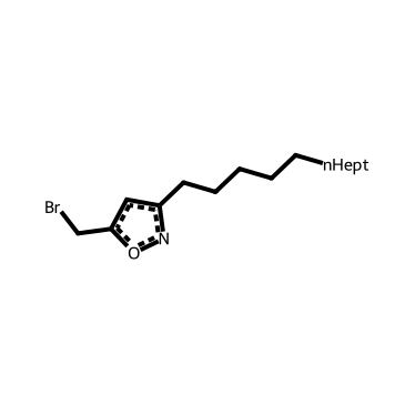 CCCCCCCCCCCCc1cc(CBr)on1